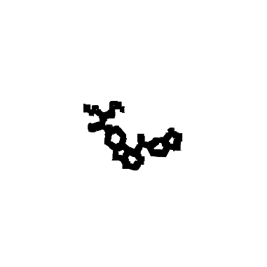 CON(C)C(=O)[C@H]1CCc2c(sc3ncnc(Nc4ccc5nnsc5c4)c23)C1